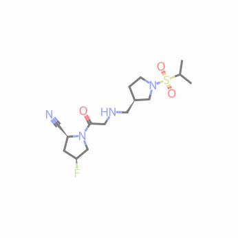 CC(C)S(=O)(=O)N1CC[C@H](CNCC(=O)N2C[C@@H](F)C[C@H]2C#N)C1